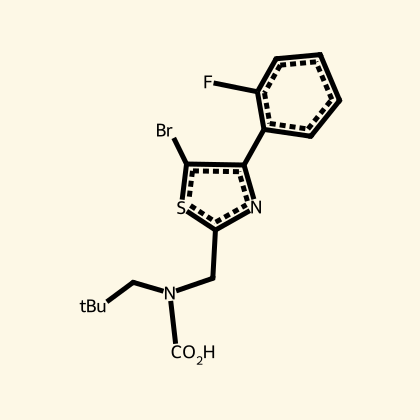 CC(C)(C)CN(Cc1nc(-c2ccccc2F)c(Br)s1)C(=O)O